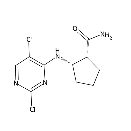 NC(=O)[C@@H]1CCC[C@@H]1Nc1nc(Cl)ncc1Cl